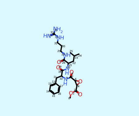 COC(=O)C1OC1C(=O)NC(Cc1ccccc1)C(=O)NC(CC(C)C)C(=O)NCCCNC(=N)N